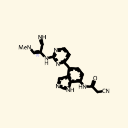 CN/C=C(\C=N)Nc1nccc(-c2ccc(NC(=O)CC#N)c3[nH]ncc23)n1